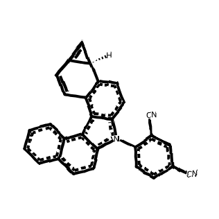 N#Cc1ccc(-n2c3ccc4c(c3c3c5ccccc5ccc32)C=CC2=C[C@H]24)c(C#N)c1